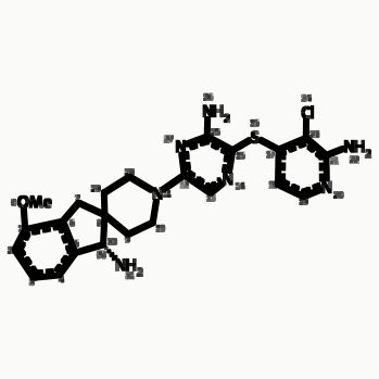 COc1cccc2c1CC1(CCN(c3cnc(Sc4ccnc(N)c4Cl)c(N)n3)CC1)[C@@H]2N